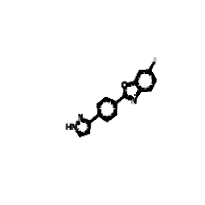 Ic1ccc2nc(-c3ccc(-c4cc[nH]n4)cc3)oc2c1